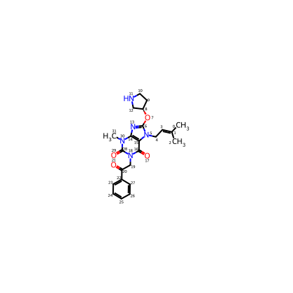 CC(C)=CCn1c(O[C@@H]2CCNC2)nc2c1c(=O)n(CC(=O)c1ccccc1)c(=O)n2C